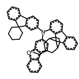 CCC1CC2CCCC(C1)C21c2ccccc2-c2cccc(N(c3ccc4c(c3)C3(CCCCC3)c3ccccc3-4)c3ccc4c(c3)oc3ccccc34)c21